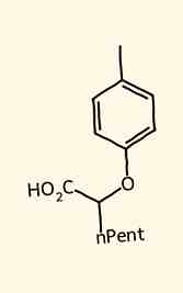 CCCCCC(Oc1ccc(C)cc1)C(=O)O